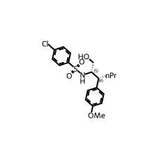 CCC[C@H](c1ccc(OC)cc1)[C@@H](CO)NS(=O)(=O)c1ccc(Cl)cc1